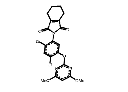 COc1cc(OC)nc(Oc2cc(N3C(=O)C4=C(CCCC4)C3=O)c(Cl)cc2Cl)n1